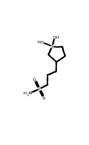 NS(=O)(=O)CCCC1CCS(O)(O)C1